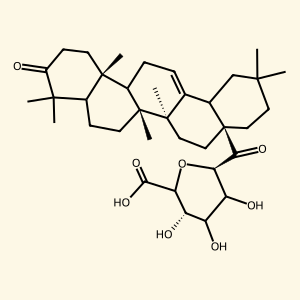 CC1(C)CC[C@]2(C(=O)[C@@H]3OC(C(=O)O)[C@@H](O)C(O)C3O)CC[C@]3(C)C(=CCC4[C@@]5(C)CCC(=O)C(C)(C)C5CC[C@]43C)C2C1